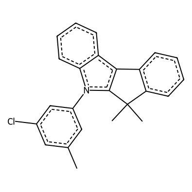 Cc1cc(Cl)cc(-n2c3c(c4ccccc42)-c2ccccc2C3(C)C)c1